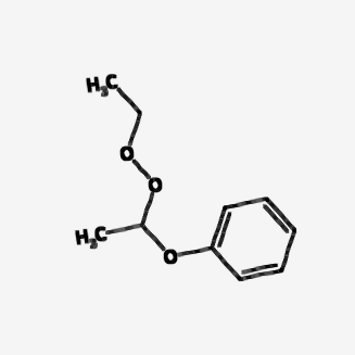 CCOOC(C)Oc1ccccc1